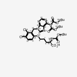 CC(C)(C)OC(=O)N[C@H](CCCOc1ccc(Cl)c(Cl)c1Cn1cnc2c(N(C(=O)OC(C)(C)C)C(=O)OC(C)(C)C)ncnc21)C(=O)O